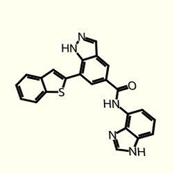 O=C(Nc1cccc2[nH]cnc12)c1cc(-c2cc3ccccc3s2)c2[nH]ncc2c1